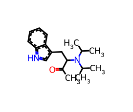 CC(=O)C(Cc1c[nH]c2ccccc12)N(C(C)C)C(C)C